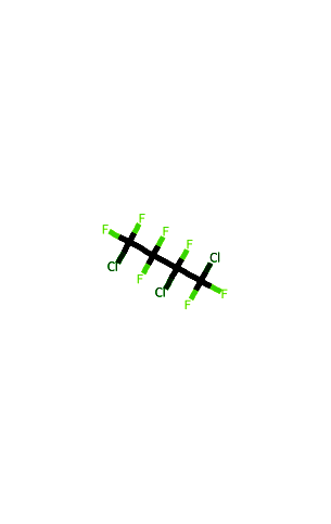 FC(F)(Cl)C(F)(F)C(F)(Cl)C(F)(F)Cl